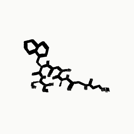 CCCN(CC(=O)N[C@@H](Cc1cccc2ccccc12)C(=O)N[C@@H](CC(C)C)B(O)O)C(=O)[C@@H](C)NC(=O)CNC(=O)CCC(=O)O